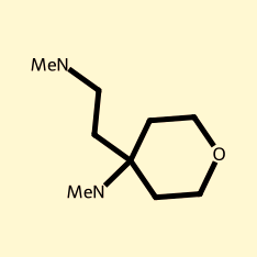 CNCCC1(NC)CCOCC1